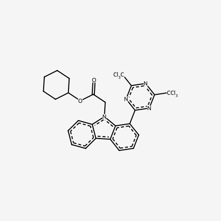 O=C(Cn1c2ccccc2c2cccc(-c3nc(C(Cl)(Cl)Cl)nc(C(Cl)(Cl)Cl)n3)c21)OC1CCCCC1